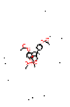 CC1OC1Oc1ccc(C(C)(Cc2cc(OC3OC3C)ccc2OC2OC2C)c2ccc(OC3OC3C)cc2)cc1